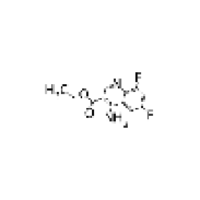 CCOC(=O)c1cnc2c(F)cc(F)cc2c1N